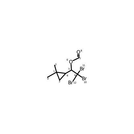 CC1(C)CC1C(OC=O)C(Br)(Br)Br